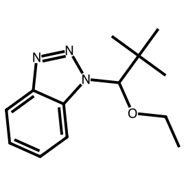 CCOC(n1nnc2ccccc21)C(C)(C)C